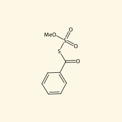 COS(=O)(=O)SC(=O)c1ccccc1